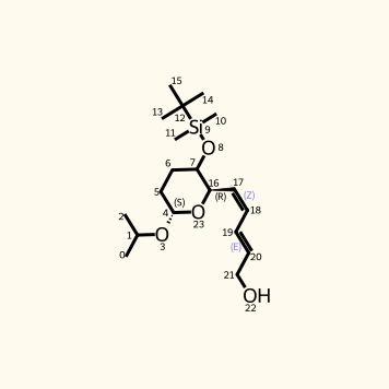 CC(C)O[C@@H]1CCC(O[Si](C)(C)C(C)(C)C)[C@@H](/C=C\C=C\CO)O1